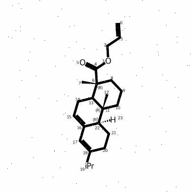 C=CCOC(=O)[C@]1(C)CCC[C@@]2(C)C1CC=C1C=C(C(C)C)CC[C@@H]12